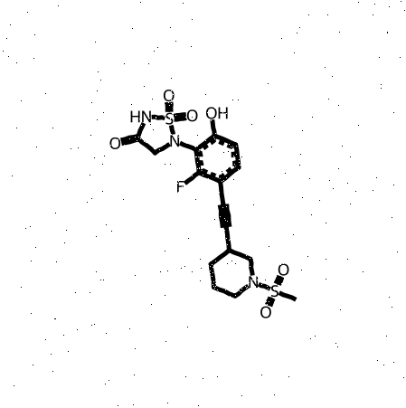 CS(=O)(=O)N1CCCC(C#Cc2ccc(O)c(N3CC(=O)NS3(=O)=O)c2F)C1